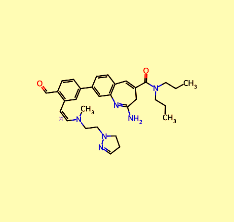 CCCN(CCC)C(=O)C1=Cc2ccc(-c3ccc(C=O)c(/C=C\N(C)CCN4CCC=N4)c3)cc2N=C(N)C1